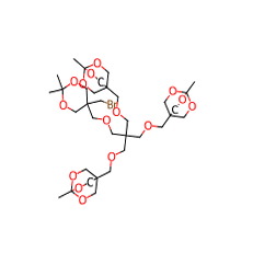 CC1(C)OCC(CBr)(COCC(COCC23COC(C)(OC2)OC3)(COCC23COC(C)(OC2)OC3)COCC23COC(C)(OC2)OC3)CO1